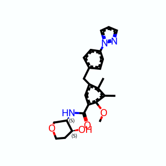 COc1c(C(=O)N[C@H]2COCC[C@@H]2O)cc(Cc2ccc(-n3cccn3)cc2)c(C)c1C